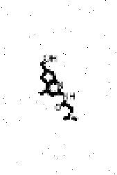 Cc1cc(NC(=O)CN(C)C)nc2c1CC(CO)C2